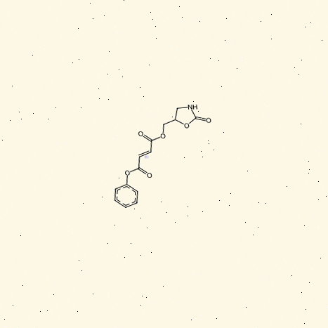 O=C(/C=C/C(=O)Oc1ccccc1)OCC1CNC(=O)O1